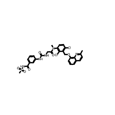 Cc1ccc2cccc(OCc3c(Cl)ccc(N(C)C(=O)CNC(=O)Nc4cccc(C(=O)NS(C)(=O)=O)c4)c3Cl)c2n1